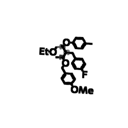 CCOC[C@H](Oc1ccc(C)cc1)[C@@H](Cc1ccc(F)cc1)[C@H](C)OCc1ccc(OC)cc1